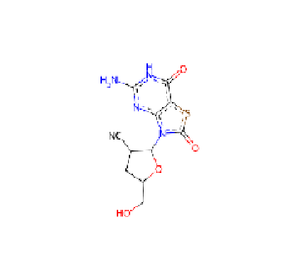 N#CC1CC(CO)OC1n1c(=O)sc2c(=O)[nH]c(N)nc21